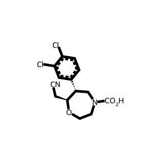 N#CC[C@@H]1OCCN(C(=O)O)C[C@H]1c1ccc(Cl)c(Cl)c1